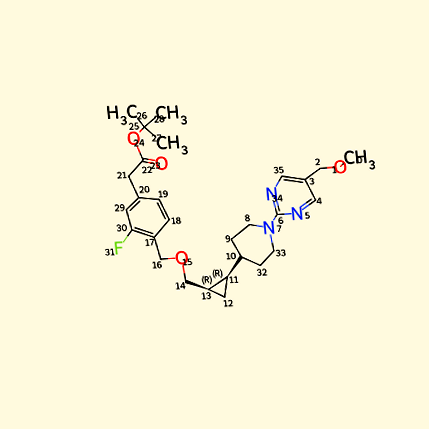 COCc1cnc(N2CCC([C@H]3C[C@H]3COCc3ccc(CC(=O)OC(C)(C)C)cc3F)CC2)nc1